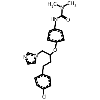 CN(C)C(=O)Nc1ccc(OC(CCc2ccc(Cl)cc2)Cn2ccnc2)cc1